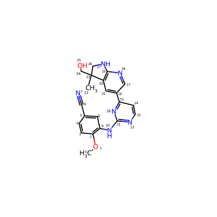 COc1ccc(C#N)cc1Nc1nccc(-c2cnc3c(c2)C(C)(CO)CN3)n1